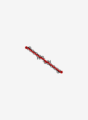 O=C(CCSSCCC(=O)NCCOCCOCCOCCOCCOCCOCCC(=O)OCc1ccccc1)NCCOCCOCCOCCOCCOCCOCCC(=O)OCc1ccccc1